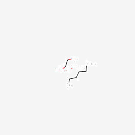 CCCCCCCCCCC[CH2][Na].O=S(=O)(O)O.OCCO